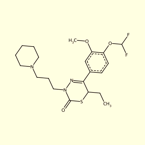 CCC1SC(=O)N(CCCN2CCCCC2)N=C1c1ccc(OC(F)F)c(OC)c1